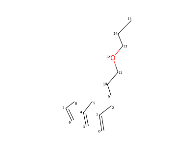 C=CC.C=CC.C=CC.CCCOCCC